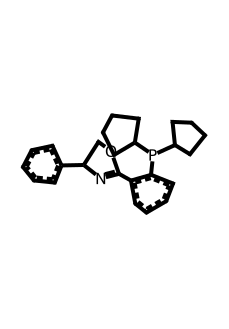 c1ccc(C2COC(c3ccccc3P(C3CCCC3)C3CCCC3)=N2)cc1